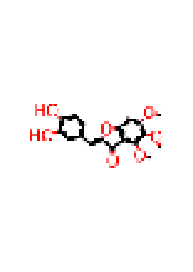 COc1cc2c(c(OC)c1OC)C(=O)/C(=C/c1ccc(O)c(O)c1)O2